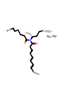 CCCCCCCCCCCCCCCCCC(=O)N(C(=O)CCCCCCCCCCCCCCC)[C@@H](CCC(=O)[O-])C(=O)[O-].[Na+].[Na+]